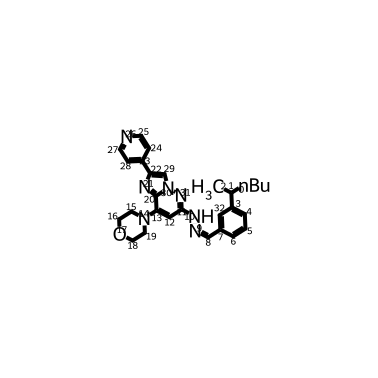 CCCCC(C)c1cccc(/C=N\Nc2cc(N3CCOCC3)c3nc(-c4ccncc4)cn3n2)c1